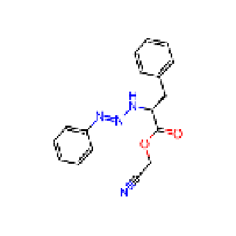 N#CCOC(=O)[C@H](Cc1ccccc1)NN=Nc1ccccc1